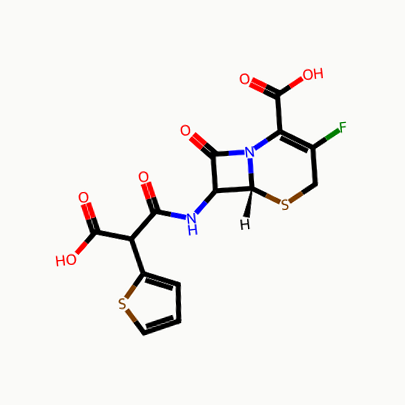 O=C(O)C1=C(F)CS[C@@H]2C(NC(=O)C(C(=O)O)c3cccs3)C(=O)N12